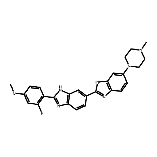 COc1ccc(-c2nc3ccc(-c4nc5ccc(N6CCN(C)CC6)cc5[nH]4)cc3[nH]2)c(F)c1